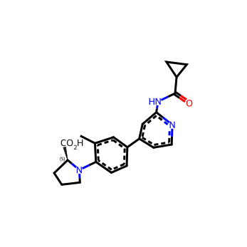 Cc1cc(-c2ccnc(NC(=O)C3CC3)c2)ccc1N1CCC[C@H]1C(=O)O